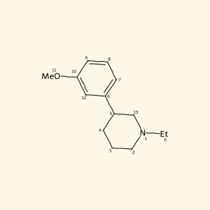 CCN1CCCC(c2cccc(OC)c2)C1